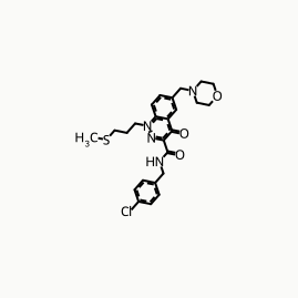 CSCCCn1nc(C(=O)NCc2ccc(Cl)cc2)c(=O)c2cc(CN3CCOCC3)ccc21